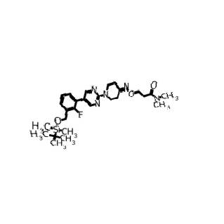 CN(C)C(=O)CCON=C1CCN(c2ncc(-c3cccc(CO[Si](C)(C)C(C)(C)C)c3F)cn2)CC1